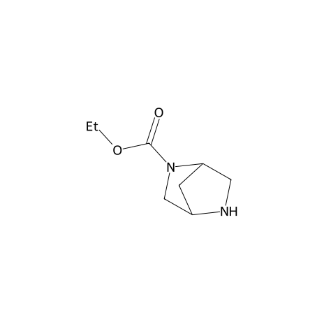 CCOC(=O)N1CC2CC1CN2